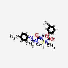 Cc1ccc(N=CN(C)C(=O)N(C)SN(C)C(=O)Oc2cccc(C(C)C)c2)c(C)c1